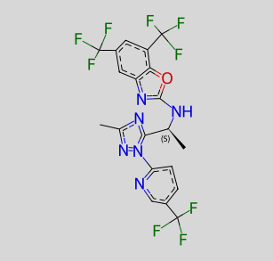 Cc1nc([C@H](C)Nc2nc3cc(C(F)(F)F)cc(C(F)(F)F)c3o2)n(-c2ccc(C(F)(F)F)cn2)n1